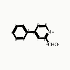 O=[C]c1cc(-c2ccccc2)ccn1